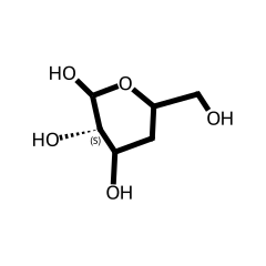 OCC1CC(O)[C@H](O)C(O)O1